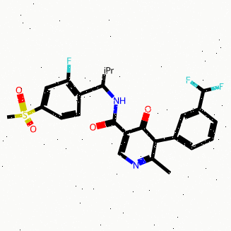 CC1=NC=C(C(=O)NC(c2ccc(S(C)(=O)=O)cc2F)C(C)C)C(=O)C1c1cccc(C(F)F)c1